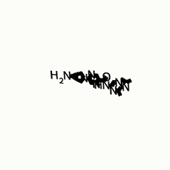 Cc1cn2cc(NC(=O)c3cnc(N4CC5C(N)C5C4)cn3)nc(C)c2n1